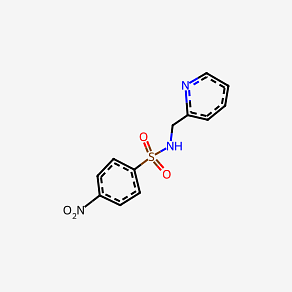 O=[N+]([O-])c1ccc(S(=O)(=O)NCc2ccccn2)cc1